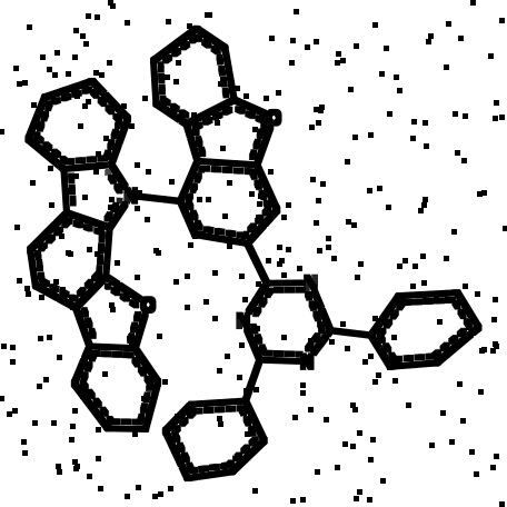 c1ccc(-c2nc(-c3ccccc3)nc(-c3cc(-n4c5ccccc5c5ccc6c7ccccc7oc6c54)c4c(c3)oc3ccccc34)n2)cc1